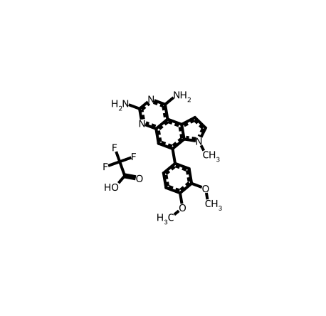 COc1ccc(-c2cc3nc(N)nc(N)c3c3ccn(C)c23)cc1OC.O=C(O)C(F)(F)F